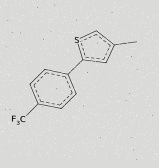 Cc1csc(-c2ccc(C(F)(F)F)cc2)c1